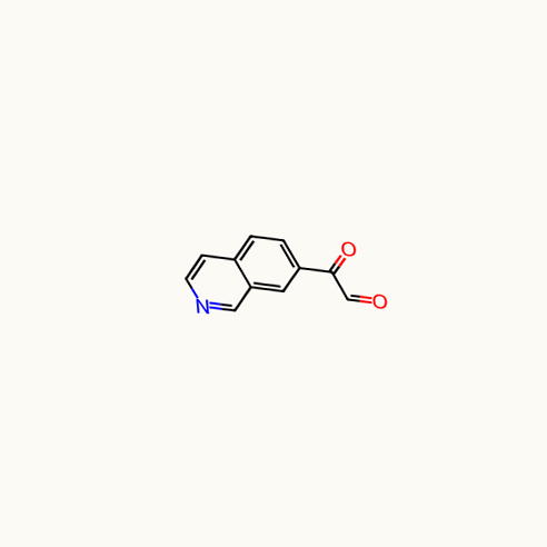 O=CC(=O)c1ccc2ccncc2c1